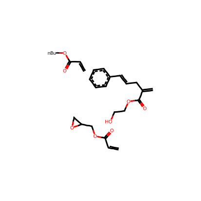 C=C(CC=Cc1ccccc1)C(=O)OCCO.C=CC(=O)OCC1CO1.C=CC(=O)OCCCC